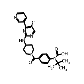 CC(C)(C)N(C(=O)O)c1ccc(C(=O)N2CCC(Nc3ncc(Cl)c(-c4cccnc4)n3)CC2)cc1